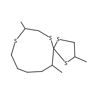 CC1CSC2(SCC(C)S2)C(C)CCCCS1